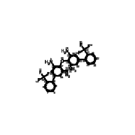 Nc1cc(-c2ccccc2C(F)(F)F)cc(N)c1Oc1c(N)cc(-c2ccccc2C(F)(F)F)cc1N